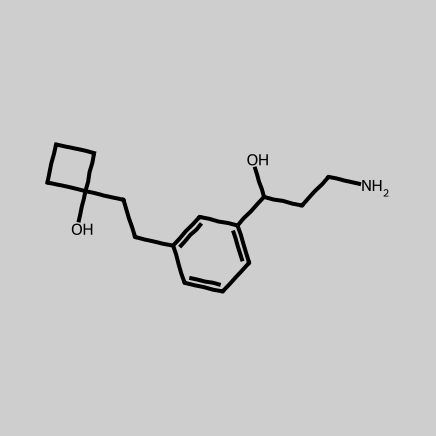 NCCC(O)c1cccc(CCC2(O)CCC2)c1